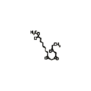 CCC1OC1CC1OC1CC1OC1CCCCCCCC(=O)OC